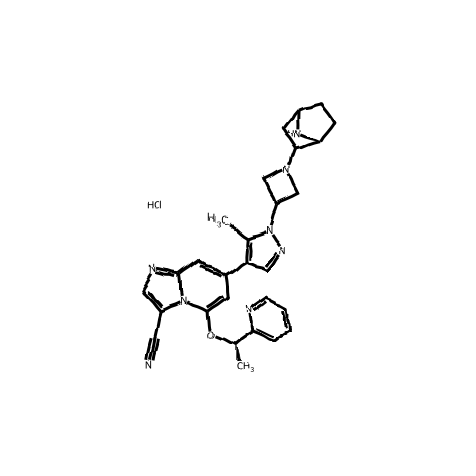 Cc1c(-c2cc(O[C@H](C)c3ccccn3)n3c(C#N)cnc3c2)cnn1C1CN(C2CC3CCC2N3)C1.Cl